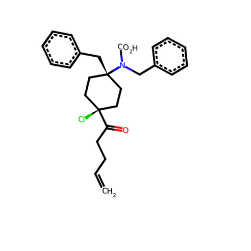 C=CCCC(=O)[C@]1(Cl)CC[C@](Cc2ccccc2)(N(Cc2ccccc2)C(=O)O)CC1